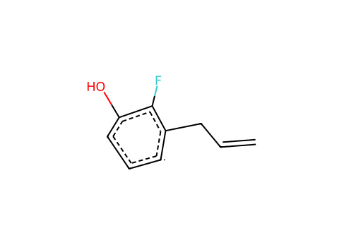 C=CCc1[c]ccc(O)c1F